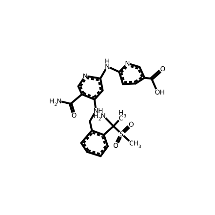 CC(N)(c1ccccc1CNc1cc(Nc2ccc(C(=O)O)cn2)ncc1C(N)=O)S(C)(=O)=O